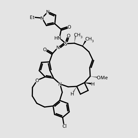 CCn1cc(C(=O)NS2(=O)=NC(=O)c3ccc4c(c3)N(Cc3ccc(Cl)cc3CCCCO4)C[C@@H]3CC[C@H]3[C@@H](OC)/C=C/C[C@H](C)[C@H]2C)cn1